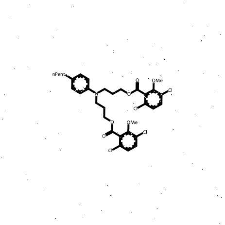 CCCCCc1ccc(N(CCCOC(=O)c2c(Cl)ccc(Cl)c2OC)CCCOC(=O)c2c(Cl)ccc(Cl)c2OC)cc1